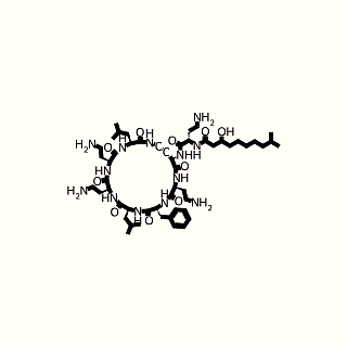 CC(C)CCCCCC(O)CC(=O)N[C@@H](CCN)C(=O)N[C@H]1CCNC(=O)[C@H](CC(C)C)NC(=O)[C@H](CCN)NC(=O)[C@H](CCN)NC(=O)[C@H](CC(C)C)NC(=O)[C@@H](Cc2ccccc2)NC(=O)[C@H](CCN)NC1=O